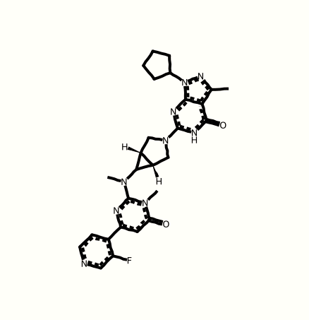 Cc1nn(C2CCCC2)c2nc(N3C[C@@H]4C(N(C)c5nc(-c6ccncc6F)cc(=O)n5C)[C@@H]4C3)[nH]c(=O)c12